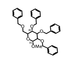 CO[C@H]1OC(COCc2ccccc2)[C@@H](OCc2ccccc2)C(OCc2ccccc2)C1OCc1ccccc1